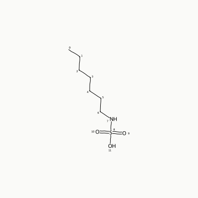 CCCCCCCNS(=O)(=O)O